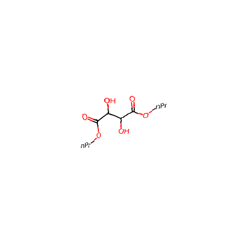 CCCOC(=O)C(O)C(O)C(=O)OCCC